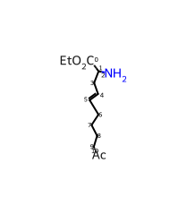 CCOC(=O)C(N)C/C=C/CCCCC(C)=O